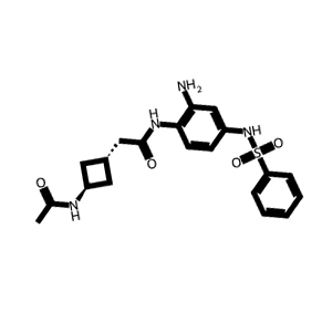 CC(=O)N[C@H]1C[C@H](CC(=O)Nc2ccc(NS(=O)(=O)c3ccccc3)cc2N)C1